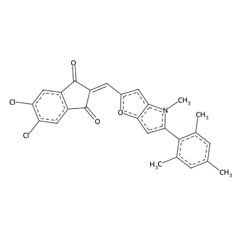 Cc1cc(C)c(-c2cc3oc(C=C4C(=O)c5cc(Cl)c(Cl)cc5C4=O)cc3n2C)c(C)c1